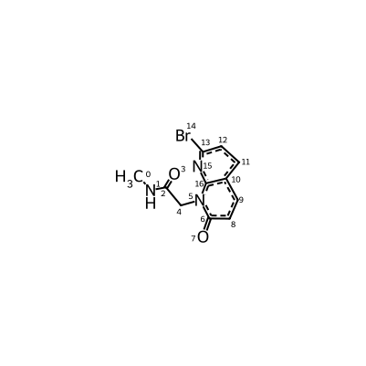 CNC(=O)Cn1c(=O)ccc2ccc(Br)nc21